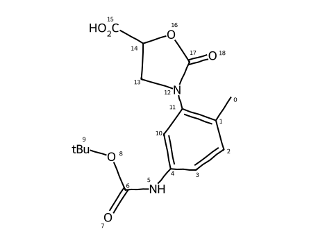 Cc1ccc(NC(=O)OC(C)(C)C)cc1N1CC(C(=O)O)OC1=O